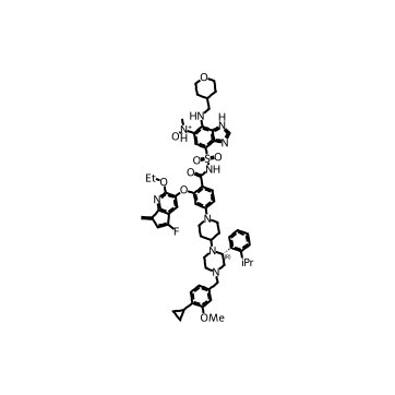 C=C1C=C(F)c2cc(Oc3cc(N4CCC(N5CCN(Cc6ccc(C7CC7)c(OC)c6)C[C@H]5c5ccccc5C(C)C)CC4)ccc3C(=O)NS(=O)(=O)c3cc([NH+](C)[O-])c(NCC4CCOCC4)c4[nH]cnc34)c(OCC)nc21